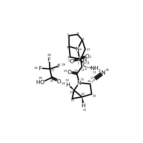 CS(=O)(=O)N1C2CCC1CC([C@H](N)C(=O)N1[C@H](C#N)C[C@@H]3C[C@@H]31)C2.O=C(O)C(F)(F)F